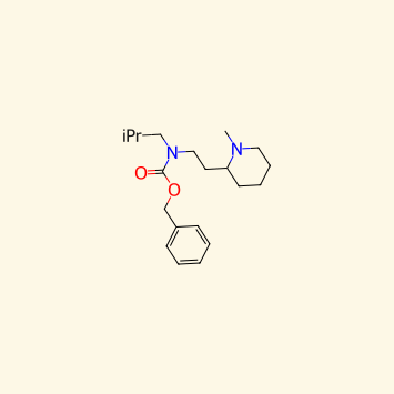 CC(C)CN(CCC1CCCCN1C)C(=O)OCc1ccccc1